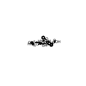 CCCCC[C@H](O)CC[C@@H]1[C@H]2Cc3cccc(OCC(=O)O)c3C[C@H]2C[C@H]1OC(=O)C1CCCC[C@@H]1C(=O)NCCCCCCSC1CC(=O)NC1=O